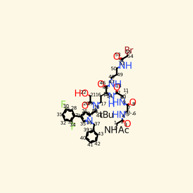 CC(=O)NCC(=O)N[C@@H](C)C(=O)N[C@@H](C)C(=O)N[C@@H](CCN(C(=O)CO)[C@@H](c1cc(-c2cc(F)ccc2F)cn1Cc1ccccc1)C(C)(C)C)C(=O)NCCCNC(=O)CBr